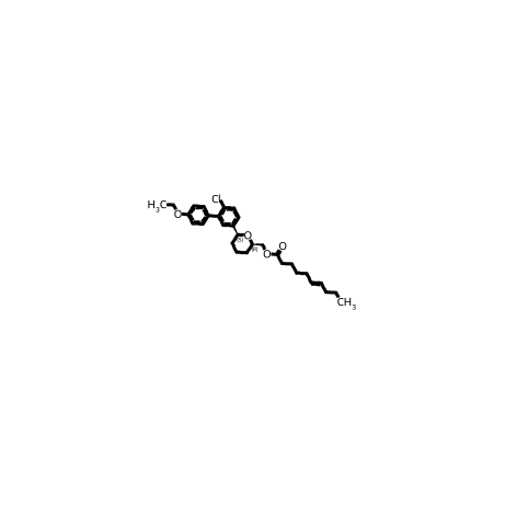 CCCC=CCCCCC(=O)OC[C@H]1CCC[C@@H](c2ccc(Cl)c(-c3ccc(OCC)cc3)c2)O1